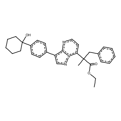 CCOC(=O)C(C)(Cc1ccccc1)c1ccnc2c(-c3ccc(C4(O)CCCCC4)cc3)cnn12